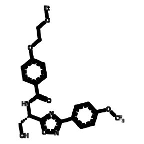 CCOCCOc1ccc(C(=O)N[C@@H](CO)c2nc(-c3ccc(OC(F)(F)F)cc3)no2)cc1